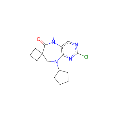 CN1C(=O)C2(CCC2)CN(C2CCCC2)c2nc(Cl)ncc21